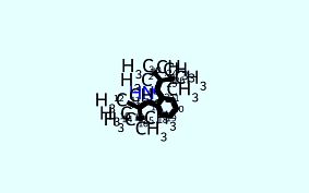 CC(C)(C)C(=c1[nH]c(=C(C(C)(C)C)C(C)(C)C)c2ccccc12)C(C)(C)C